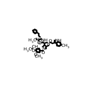 CNC(=O)[C@H](CCCc1ccccc1)NC(=O)C1CN(C(=O)Cc2c[nH]c3cc(C)ccc23)CC2CN(C(=O)c3ccc(OC(C)C)c(OC)c3)CC21